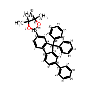 CC1(C)OB(c2ccc3c(c2)C(c2ccccc2)(c2ccccc2)c2cc(-c4ccccc4)ccc2-3)OC1(C)C